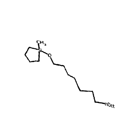 CCCCCCCCCCCCCCCO[Si]1(C)CCCC1